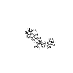 Nc1nc2c(ncn2[C@@H]2O[C@H](CO)[C@@H](n3cc(CC4O[C@@H](n5cnc6c(=O)[nH]c(N)nc65)[C@H](O)[C@@H]4O)nn3)[C@H]2O)c(=O)[nH]1